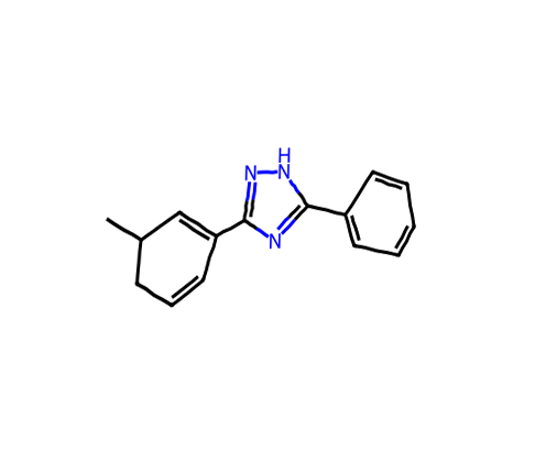 CC1C=C(c2n[nH]c(-c3ccccc3)n2)C=CC1